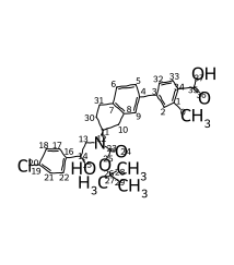 Cc1cc(-c2ccc3c(c2)C[C@@H](N(C[C@@H](O)c2ccc(Cl)cc2)C(=O)OC(C)(C)C)CC3)ccc1C(=O)O